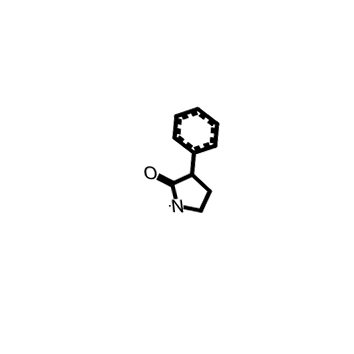 O=C1[N]CCC1c1ccccc1